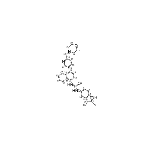 Cc1[nH]c2ccc(NC(=O)Nc3ccc(-c4ccc(CN5CCOCC5)nc4)c4ccccc34)cc2c1C